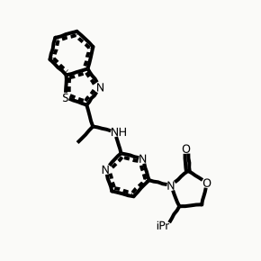 CC(Nc1nccc(N2C(=O)OCC2C(C)C)n1)c1nc2ccccc2s1